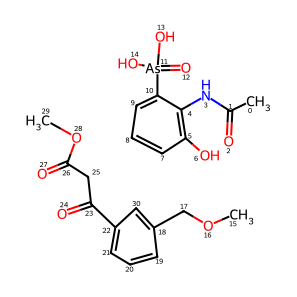 CC(=O)Nc1c(O)cccc1[As](=O)(O)O.COCc1cccc(C(=O)CC(=O)OC)c1